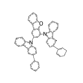 C1=CC(c2ccc3c(c2)c2ccccc2n3-c2cc(-n3c4ccccc4c4cc(-c5ccccc5)ccc43)cc3c2oc2ccccc23)=CCC1